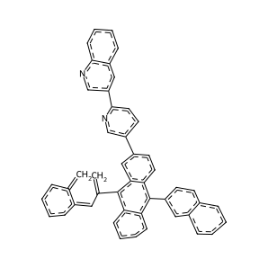 C=C(/C=c1/ccccc1=C)c1c2ccccc2c(-c2ccc3ccccc3c2)c2ccc(-c3ccc(-c4cnc5ccccc5c4)nc3)cc12